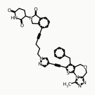 Cc1nnc2n1-c1sc(C#Cc3cnn(CCCC#Cc4cccc5c4CN(C4CCC(=O)NC4=O)C5=O)c3)c(Cc3ccccc3)c1COC2